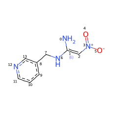 N/C(=C\[N+](=O)[O-])NCc1cccnc1